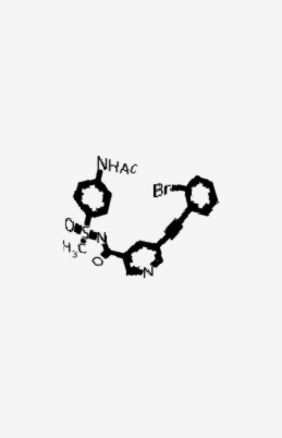 CC(=O)Nc1ccc(S(C)(=O)=NC(=O)c2cncc(C#Cc3ccccc3Br)c2)cc1